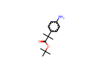 CC(C)(C)OC(=O)C(C)(C)c1ccc(N)cc1